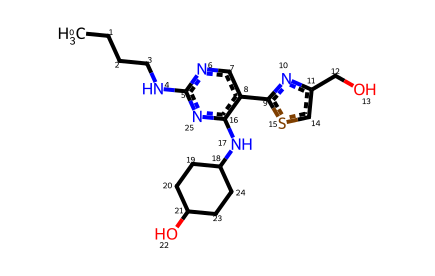 CCCCNc1ncc(-c2nc(CO)cs2)c(NC2CCC(O)CC2)n1